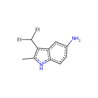 CCC(CC)c1c(C)[nH]c2ccc(N)cc12